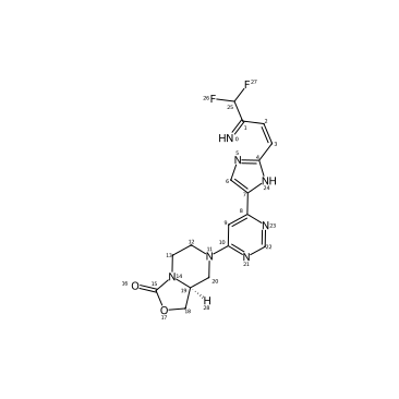 N=C(/C=C\c1ncc(-c2cc(N3CCN4C(=O)OC[C@@H]4C3)ncn2)[nH]1)C(F)F